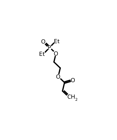 C=CC(=O)OCCOP(=O)(CC)CC